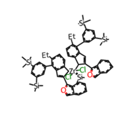 CCc1ccc2c(c1-c1cc([Si](C)(C)C)cc([Si](C)(C)C)c1)C=C(c1occ3ccccc13)[CH]2[Zr]([Cl])([Cl])([CH]1C(c2occ3ccccc23)=Cc2c1ccc(CC)c2-c1cc([Si](C)(C)C)cc([Si](C)(C)C)c1)=[Si](C)C